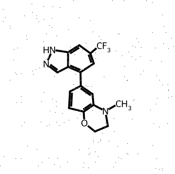 CN1CCOc2ccc(-c3cc(C(F)(F)F)cc4[nH]ncc34)cc21